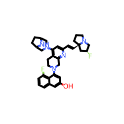 Oc1cc(N2CCc3c(N4CC5CCC(C4)N5)cc(/C=C/[C@@]45CCCN4C[C@H](F)C5)nc3C2)c2c(F)cccc2c1